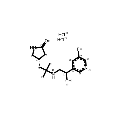 CC(C)(C[C@@H]1CNC(=O)C1)NC[C@H](O)c1cncc(F)c1.Cl.Cl